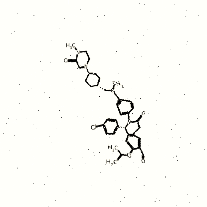 CC(C)Oc1cc2c(cc1C=O)CC(=O)N(c1ccc(N(C)C[C@H]3CC[C@H](N4CCN(C)C(=O)C4)CC3)cc1)[C@H]2c1ccc(Cl)cc1